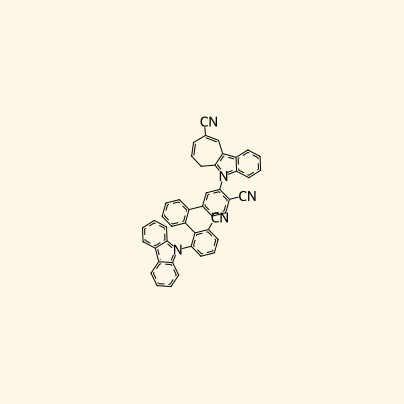 N#CC1=Cc2c(n(-c3cc(-c4ccccc4-c4c(C#N)cccc4-n4c5ccccc5c5ccccc54)ccc3C#N)c3ccccc23)CC=C1